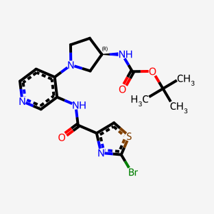 CC(C)(C)OC(=O)N[C@@H]1CCN(c2ccncc2NC(=O)c2csc(Br)n2)C1